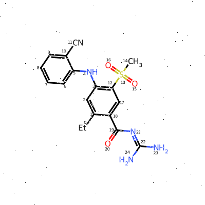 CCc1cc(Nc2ccccc2C#N)c(S(C)(=O)=O)cc1C(=O)N=C(N)N